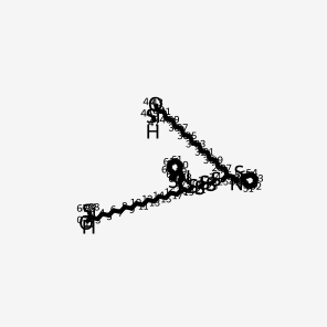 COC(CCCCCCCCCCCCCCCC(CSSSSSCC(CCCCCCCCCCCCCCCC(OC)[SiH](C)C)c1nc2ccccc2s1)c1nc2ccccc2s1)[SiH](C)C